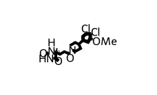 COc1cc(C2CCN(C(=O)CC[C@@]3(C)NC(=O)NC3=O)CC2)cc(Cl)c1Cl